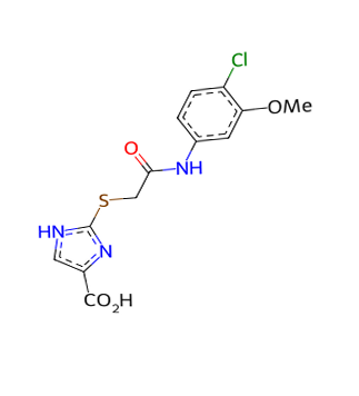 COc1cc(NC(=O)CSc2nc(C(=O)O)c[nH]2)ccc1Cl